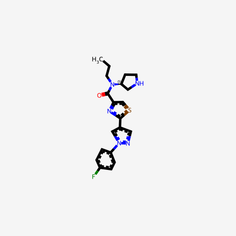 CCCN(C(=O)c1csc(-c2cnn(-c3ccc(F)cc3)c2)n1)[C@H]1CCNC1